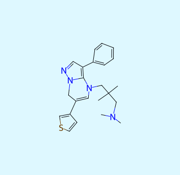 CN(C)CC(C)(C)CN1C=C(c2ccsc2)Cn2ncc(-c3ccccc3)c21